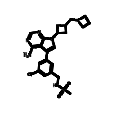 CS(=O)(=O)NCc1cc(Cl)cc(-c2cn(C3CC(CN4CCC4)C3)c3ncnc(N)c23)c1